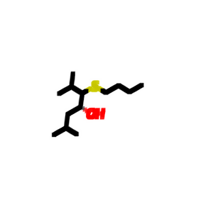 CCCCSC(C(C)C)[C@H](O)CC(C)C